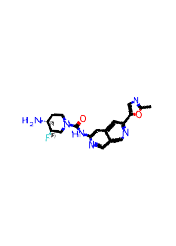 Cc1ncc(-c2cc3cc(NC(=O)N4CC[C@@H](N)[C@H](F)C4)ncc3cn2)o1